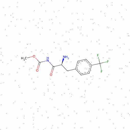 COC(=O)NC(=O)[C@@H](N)Cc1ccc(C(F)(F)F)cc1